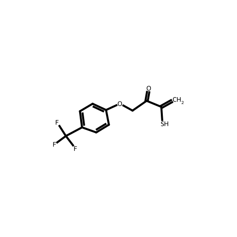 C=C(S)C(=O)COc1ccc(C(F)(F)F)cc1